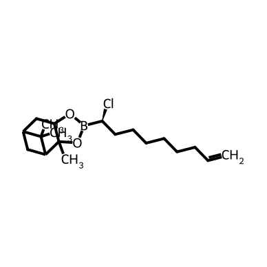 C=CCCCCCC[C@H](Cl)B1OC2CC3CC(C3(C)C)C2(C)O1